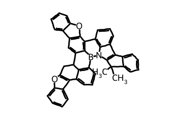 CC1(C)c2ccccc2-c2c1n1c3c(cccc23)-c2c3c(cc4c2oc2ccccc24)C2Cc4oc5ccccc5c4-c4cccc(c42)B31